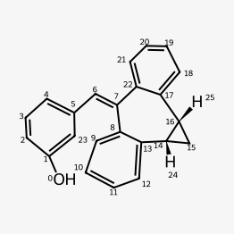 Oc1cccc(/C=C2\c3ccccc3[C@H]3C[C@H]3c3ccccc32)c1